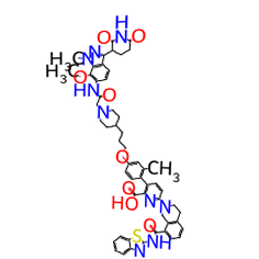 COc1c(NC(=O)CN2CCC(CCCOc3ccc(-c4ccc(N5CCc6cccc(C(=O)Nc7nc8ccccc8s7)c6C5)nc4C(=O)O)c(C)c3)CC2)ccc2c(C3CCC(=O)NC3=O)nn(C)c12